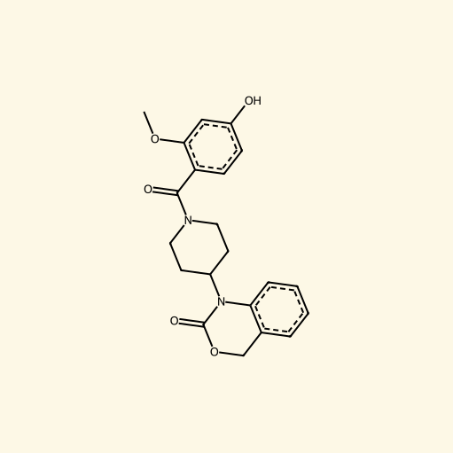 COc1cc(O)ccc1C(=O)N1CCC(N2C(=O)OCc3ccccc32)CC1